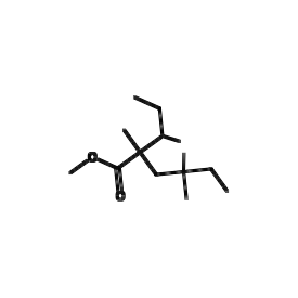 CCC(C)C(C)(CC(C)(C)CC)C(=O)OC